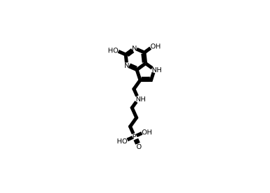 O=P(O)(O)CCCNCc1c[nH]c2c(O)nc(O)nc12